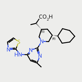 Cc1cc(Nc2nccs2)nc(N2C[C@@H](C3CCCCC3)C[C@@H](C(C)C(=O)O)C2)n1